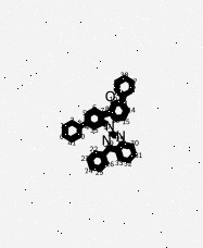 C1=CCC(c2ccc3c4c5oc6c(c5ccc4n(-c4nc(-c5ccccc5)c5c(n4)=CCCC=5)c3c2)CCC=C6)C=C1